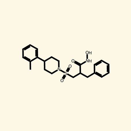 Cc1ccccc1C1CCN(S(=O)(=O)CC(Cc2ccccc2)C(=O)NO)CC1